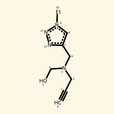 C#CCN(CO)Cc1cn(CC)nn1